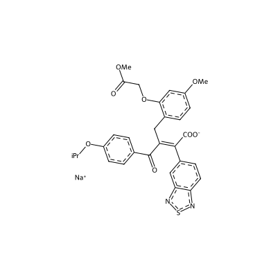 COC(=O)COc1cc(OC)ccc1CC(C(=O)c1ccc(OC(C)C)cc1)=C(C(=O)[O-])c1ccc2nsnc2c1.[Na+]